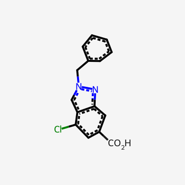 O=C(O)c1cc(Cl)c2cn(Cc3ccccc3)nc2c1